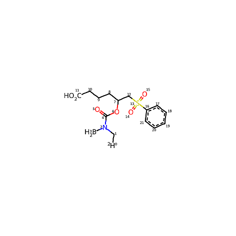 [2H]CN(B)C(=O)OC(CCCC(=O)O)CS(=O)(=O)c1ccccc1